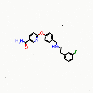 NC(=O)c1ccc(Oc2ccc(CNCCc3cccc(F)c3)cc2)nc1